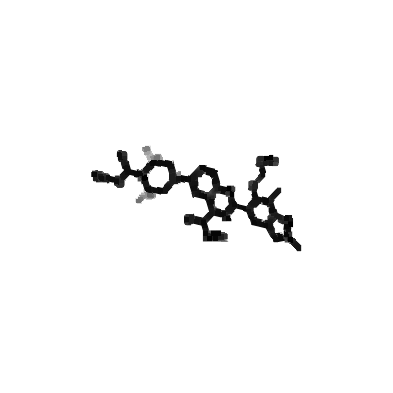 CNC(=O)c1nc(-c2cc3cn(C)nc3c(C)c2OCOC)nc2ccc(N3C[C@@H](C)N(C(=O)OC(C)(C)C)[C@@H](C)C3)cc12